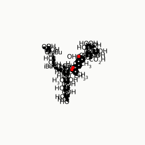 CC[C@H](C)[C@H](C[C@H](O)CC(=O)N[C@@H]1C(O)C(O[C@@H]2OC(C)[C@H](O[C@@H]3OC[C@@H](O)C(O[C@@H]4OC[C@@](O)(CO)C4O)C3O)C(O)C2O)[C@H](OC(=O)[C@]23CCC(C)(C)CC2C2=CCC4C5(C)CC[C@H](O[C@@H]6OC(C(=O)O)[C@@H](O)[C@H](O[C@@H]7OC[C@@H](O)[C@H](O)C7O)C6O[C@@H]6OC(CO)[C@H](O)[C@H](O)C6O)[C@](C)(C=O)[C@@H]5CC[C@]4(C)[C@]2(C)CC3O)O[C@@H]1CO)NC(=O)C[C@@H](O)C[C@H](O[C@@H]1O[C@@H](CO)C(O)C1O)[C@@H](C)CC